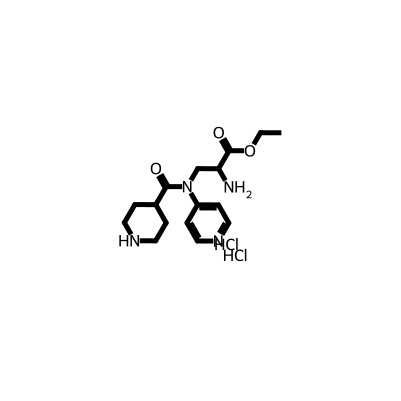 CCOC(=O)C(N)CN(C(=O)C1CCNCC1)c1ccncc1.Cl.Cl